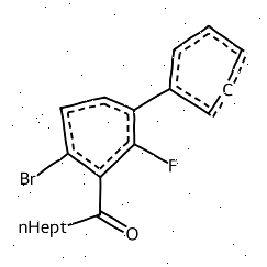 CCCCCCCC(=O)c1c(Br)ccc(-c2ccccc2)c1F